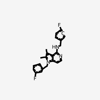 Cc1c(C)n(Cc2cccc(F)c2)c2ccnc(NCc3ccc(F)cc3)c12